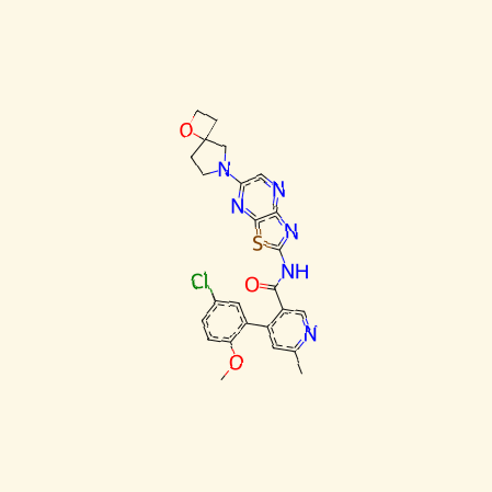 COc1ccc(Cl)cc1-c1cc(C)ncc1C(=O)Nc1nc2ncc(N3CCC4(CCO4)C3)nc2s1